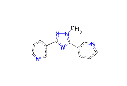 Cn1nc(-c2cccnc2)nc1-c1cccnc1